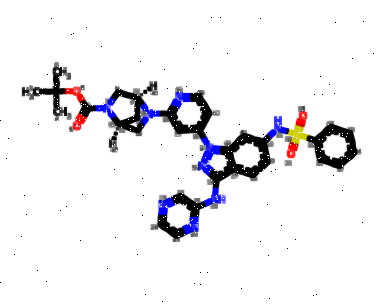 CC(C)(C)OC(=O)N1C[C@@H]2C[C@H]1CN2c1cc(-n2nc(Nc3cnccn3)c3ccc(NS(=O)(=O)c4ccccc4)cc32)ccn1